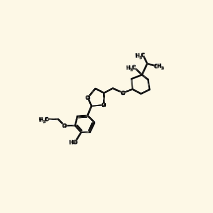 CCOc1cc(C2OCC(COC3CCCC(C)(C(C)C)C3)O2)ccc1O